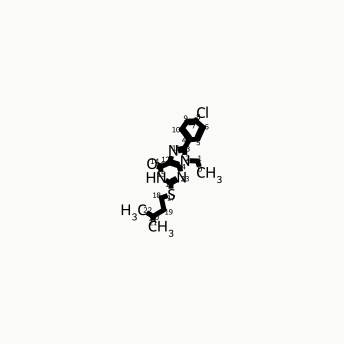 CCn1c(-c2ccc(Cl)cc2)nc2c(=O)[nH]c(SCCC(C)C)nc21